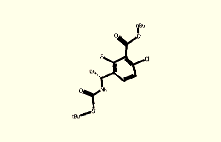 CCCCOC(=O)c1c(Cl)ccc([C@@H](CC)NC(=O)OC(C)(C)C)c1F